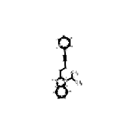 CC(C)n1c(CCC#Cc2ccccn2)nc2ccccc21